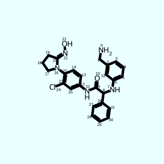 NCc1cccc(NC(C(=O)Nc2ccc(N3CCCC3=NO)c(Cl)c2)c2ccccc2)c1